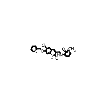 Cn1cccc(NCC2=Cc3cc(Cl)c(OCc4ccccn4)cc3NC2O)c1=O